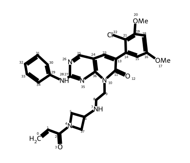 C=CC(=O)N1CC(NCCn2c(=O)c(-c3cc(OC)cc(OC)c3Cl)cc3cnc(Nc4ccccc4)nc32)C1